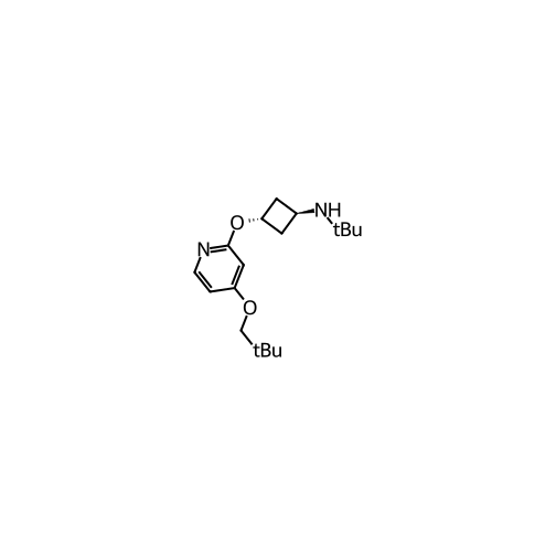 CC(C)(C)COc1ccnc(O[C@H]2C[C@H](NC(C)(C)C)C2)c1